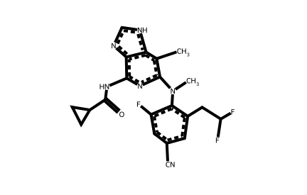 Cc1c(N(C)c2c(F)cc(C#N)cc2CC(F)F)nc(NC(=O)C2CC2)c2nc[nH]c12